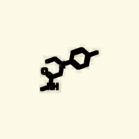 CCN(CC(=O)NC)c1ccc(C)cc1